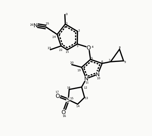 Cc1cc(Oc2c(C3CC3)nn(C3CCS(=O)(=O)C3)c2C)cc(C)c1C#N